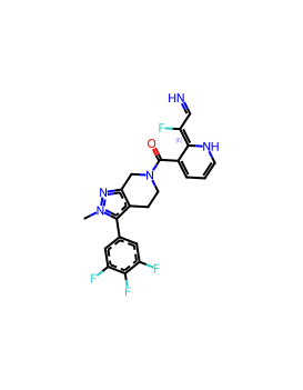 Cn1nc2c(c1-c1cc(F)c(F)c(F)c1)CCN(C(=O)C1=CC=CN/C1=C(/F)C=N)C2